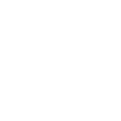 CCCC1COc2cscc2O1